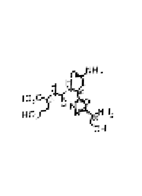 NC(=O)C[C@H](NC(=O)N[C@@H](CC(=O)O)C(=O)O)c1nnc([C@@H](N)CO)o1